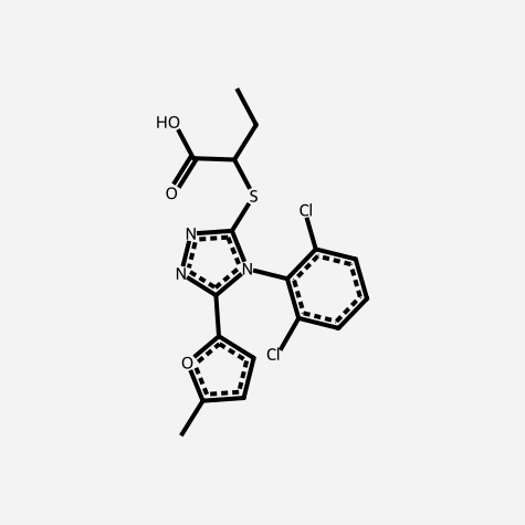 CCC(Sc1nnc(-c2ccc(C)o2)n1-c1c(Cl)cccc1Cl)C(=O)O